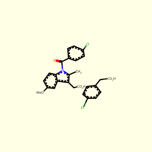 COc1ccc2c(c1)c(CC(=O)O)c(C)n2C(=O)c1ccc(Cl)cc1.O=C(O)Cc1ccc(Cl)cc1